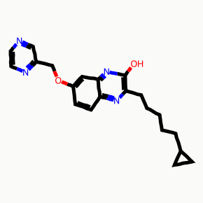 Oc1nc2cc(OCc3cnccn3)ccc2nc1CCCCCC1CC1